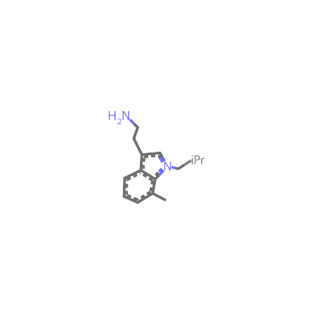 Cc1cccc2c(CCN)cn(CC(C)C)c12